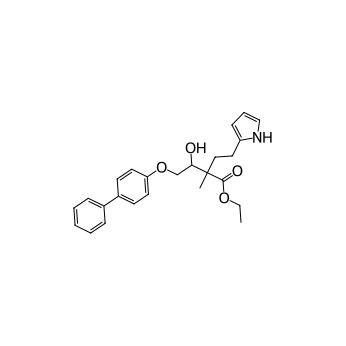 CCOC(=O)C(C)(CCc1ccc[nH]1)C(O)COc1ccc(-c2ccccc2)cc1